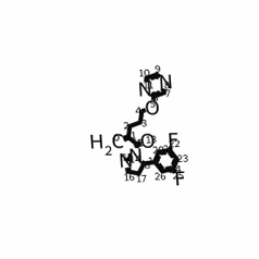 C=C(CCCOc1cnccn1)C(=O)N1N=CCC1c1cc(F)cc(F)c1